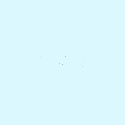 NC(=O)/C(=C/n1cnc(-c2cc(C3CC3)nc(C(F)(F)F)c2)n1)c1ccncc1F